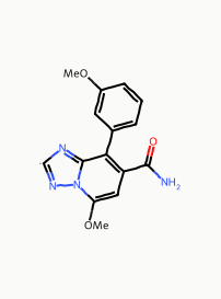 COc1cccc(-c2c(C(N)=O)cc(OC)n3n[c]nc23)c1